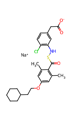 Cc1cc(OCCC2CCCCC2)cc(C)c1C(=O)SNc1cc(CC(=O)[O-])ccc1Cl.[Na+]